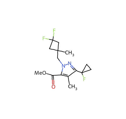 COC(=O)c1c(C)c(C2(F)CC2)nn1CC1(C)CC(F)(F)C1